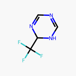 FC(F)(F)C1N=CN=CN1